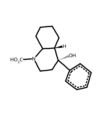 O=C(O)N1CC[C@](O)(c2ccccc2)[C@H]2CCCCC21